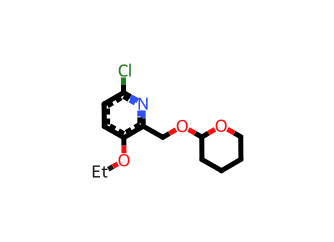 CCOc1ccc(Cl)nc1COC1CCCCO1